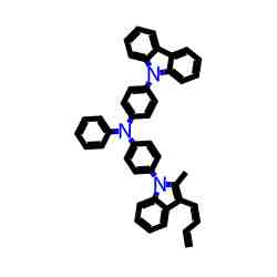 C=C/C=C\c1c(C)n(-c2ccc(N(c3ccccc3)c3ccc(-n4c5ccccc5c5ccccc54)cc3)cc2)c2ccccc12